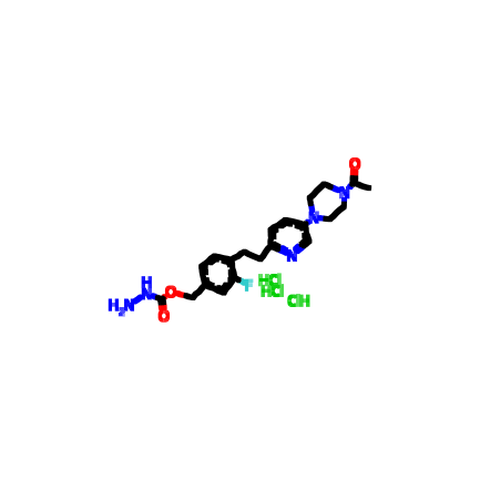 CC(=O)N1CCN(c2ccc(CCc3ccc(COC(=O)NN)cc3F)nc2)CC1.Cl.Cl.Cl